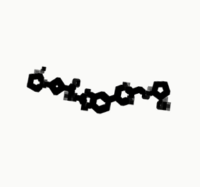 C[C@H]1CCCN1C1CC(C(=O)Nc2nc3ccc(-c4cnc(CO[C@H]5CCC[C@@H]5O)nc4)cc3s2)C1